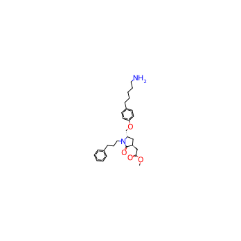 COC(=O)C[C@@H]1C[C@@H](COc2ccc(CCCCCN)cc2)N(CCCc2ccccc2)C1=O